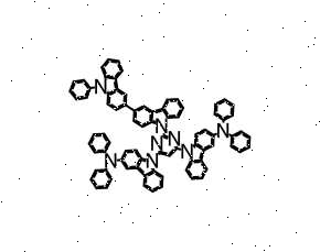 c1ccc(N(c2ccccc2)c2ccc3c(c2)c2ccccc2n3-c2cc(-n3c4ccccc4c4cc(N(c5ccccc5)c5ccccc5)ccc43)nc(-n3c4ccccc4c4cc(-c5ccc6c(c5)c5ccccc5n6-c5ccccc5)ccc43)n2)cc1